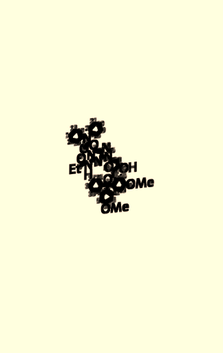 CCC(=O)Nc1nc(OC(=O)N(c2ccccc2)c2ccccc2)c2ncn([C@H]3C[C@H](O)[C@@H](COC(c4ccccc4)(c4ccc(OC)cc4)c4ccc(OC)cc4)O3)c2n1